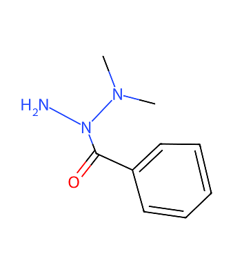 CN(C)N(N)C(=O)c1ccccc1